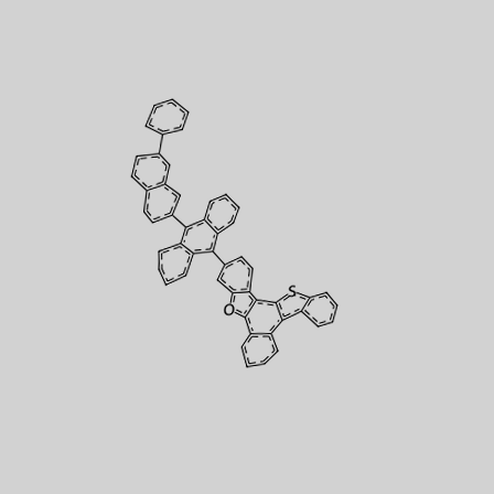 c1ccc(-c2ccc3ccc(-c4c5ccccc5c(-c5ccc6c(c5)oc5c7ccccc7c7c8ccccc8sc7c65)c5ccccc45)cc3c2)cc1